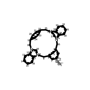 [Br-].[Br-].c1cc2cc(c1)C[n+]1cn(c3ccccc31)Cc1ccc(cc1)Cn1c[n+](c3ccccc31)C2